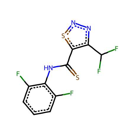 Fc1cccc(F)c1NC(=S)c1snnc1C(F)F